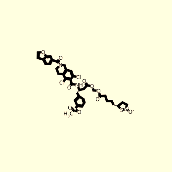 CS(=O)(=O)c1cccc(C[C@@H](CC(=O)OCOC(=O)CCCC[C@@H]2CC[S+]([O-])S2)NC(=O)c2c(Cl)cc3c(c2Cl)CCN(C(=O)c2ccc4ccoc4c2)C3)c1